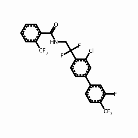 O=C(NCC(F)(F)c1ccc(-c2ccc(C(F)(F)F)c(F)c2)cc1Cl)c1ccccc1C(F)(F)F